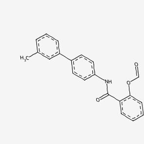 Cc1cccc(-c2ccc(NC(=O)c3ccccc3OC=O)cc2)c1